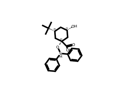 CC(C)(C)[C@@H]1C[C@H](O)C[C@@](O[SiH](c2ccccc2)c2ccccc2)(C(=O)O)C1